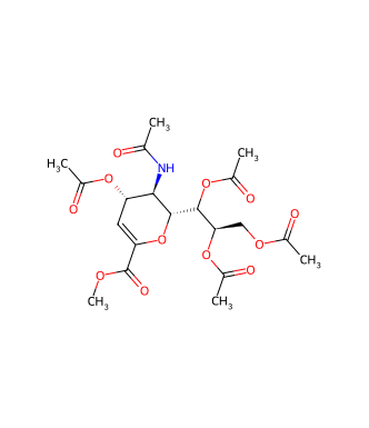 COC(=O)C1=C[C@H](OC(C)=O)[C@@H](NC(C)=O)[C@H](C(OC(C)=O)[C@@H](COC(C)=O)OC(C)=O)O1